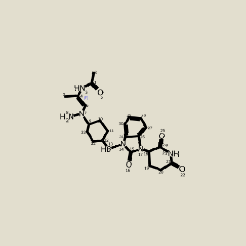 CC(=O)N/C(C)=C/N(N)C1CCC(Bn2c(=O)n(C3CCC(=O)NC3=O)c3ccccc32)CC1